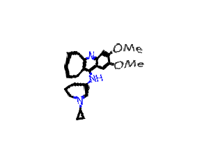 COc1cc2nc3c(c(N[C@@H]4CCCN(C5CC5)C4)c2cc1OC)CCCCC3